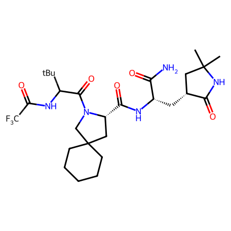 CC1(C)C[C@@H](C[C@H](NC(=O)[C@@H]2CC3(CCCCC3)CN2C(=O)C(NC(=O)C(F)(F)F)C(C)(C)C)C(N)=O)C(=O)N1